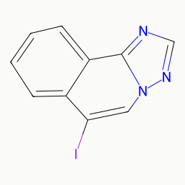 Ic1cn2ncnc2c2ccccc12